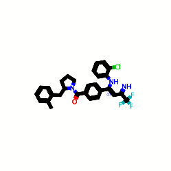 Cc1ccccc1CC1CCCN1C(=O)c1ccc(/C(=C/C(=N)C(F)(F)F)Nc2ccccc2Cl)cc1